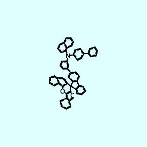 c1ccc(-c2ccc(N(c3cccc(-c4ccc5c(c4)C4(c6ccccc6-5)c5ccc6ccccc6c5Oc5c4ccc4ccccc54)c3)c3cccc4ccccc34)cc2)cc1